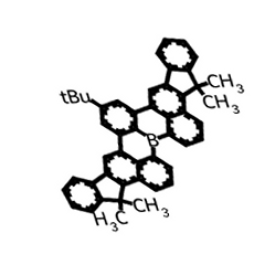 CC(C)(C)c1cc2c3c(c1)-c1cc4c(c5cccc(c15)B3c1cccc3c5c(cc-2c13)-c1ccccc1C5(C)C)C(C)(C)c1ccccc1-4